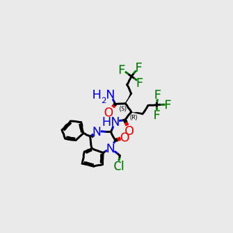 NC(=O)[C@@H](CCC(F)(F)F)[C@@H](CCC(F)(F)F)C(=O)NC1N=C(c2ccccc2)c2ccccc2N(CCl)C1=O